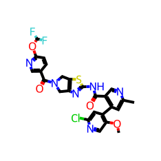 COc1cnc(Cl)cc1-c1cc(C)ncc1C(=O)Nc1nc2c(s1)CN(C(=O)c1ccc(OC(F)F)nc1)C2